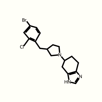 Clc1cc(Br)ccc1CC1CCN(C2CCc3nc[nH]c3C2)C1